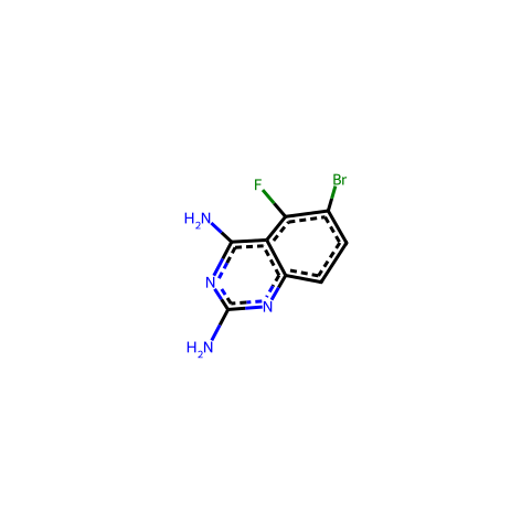 Nc1nc(N)c2c(F)c(Br)ccc2n1